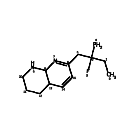 CCC(F)(P)CC1=NC2NCCCC2C=C1